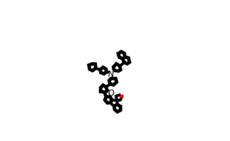 CCC1(CC)c2ccccc2-c2ccc3c(oc4c(-c5cccc(N(c6ccc(-c7ccccc7)cc6)c6ccc(-c7cccc8ccccc78)cc6)c5)cccc43)c21